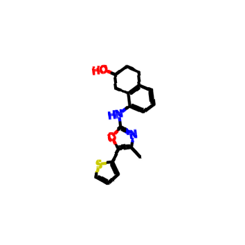 Cc1nc(Nc2cccc3c2CC(O)CC3)oc1-c1cccs1